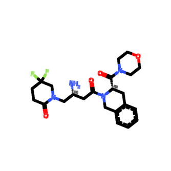 N[C@H](CC(=O)N1Cc2ccccc2C[C@H]1C(=O)N1CCOCC1)CN1CC(F)(F)CCC1=O